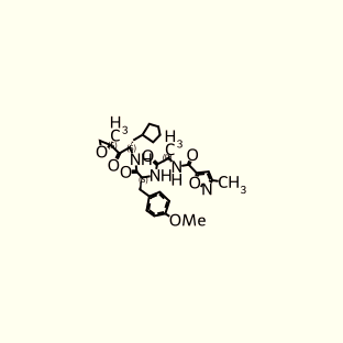 COc1ccc(C[C@H](NC(=O)[C@@H](C)NC(=O)c2cc(C)no2)C(=O)N[C@@H](CC2CCCC2)C(=O)[C@]2(C)CO2)cc1